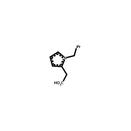 CC(C)Cn1cccc1CC(=O)O